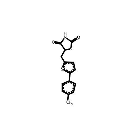 O=C1NC(=O)C(Cc2ccc(-c3ccc(C(F)(F)F)cc3)s2)S1